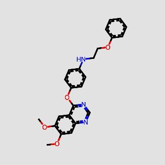 COc1cc2ncnc(Oc3ccc(NCCOc4ccccc4)cc3)c2cc1OC